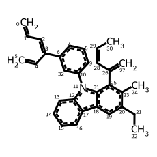 C=C/C=C(\C=C)c1cccc(-n2c3ccccc3c3cc(CC)c(C)c(C(=C)/C=C\C)c32)c1